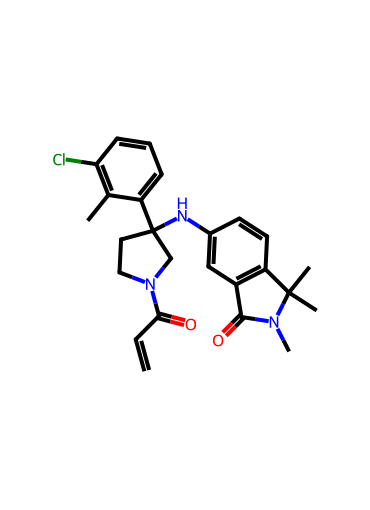 C=CC(=O)N1CCC(Nc2ccc3c(c2)C(=O)N(C)C3(C)C)(c2cccc(Cl)c2C)C1